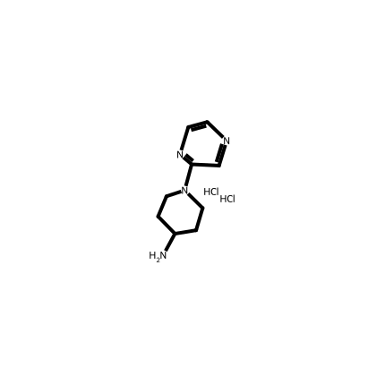 Cl.Cl.NC1CCN(c2cnccn2)CC1